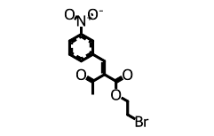 CC(=O)/C(=C\c1cccc([N+](=O)[O-])c1)C(=O)OCCBr